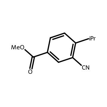 COC(=O)c1ccc(C(C)C)c(C#N)c1